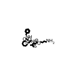 Cc1csc(C(=O)OCCCCN)c1NC(=O)C[N+]1(CC(=O)NCc2ccccc2)CCCCCC1